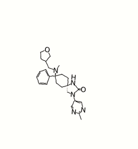 Cc1ncc(N2C[C@]3(CC[C@](c4ccccc4)(N(C)CC4CCOC4)CC3)NC2=O)cn1